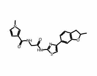 CC1Cc2ccc(-c3csc(NC(=O)CNC(=O)c4ccn(C)c4)n3)cc2O1